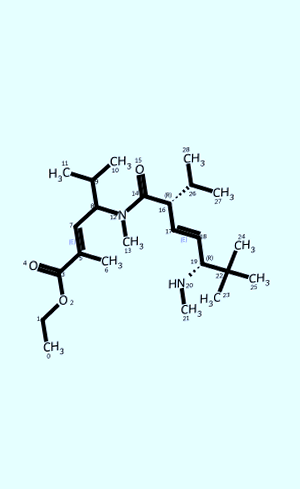 CCOC(=O)/C(C)=C/C(C(C)C)N(C)C(=O)[C@@H](/C=C/[C@@H](NC)C(C)(C)C)C(C)C